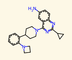 Nc1ccc2nc(C3CC3)nc(N3CCC(c4ccccc4N4CCC4)CC3)c2c1